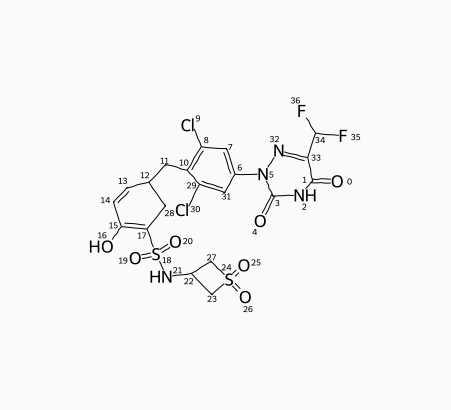 O=c1[nH]c(=O)n(-c2cc(Cl)c(CC3C=CC(O)=C(S(=O)(=O)NC4CS(=O)(=O)C4)C3)c(Cl)c2)nc1C(F)F